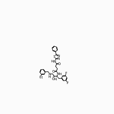 CCc1cccc(CNC[C@@H](O)[C@H](Cc2cc(F)cc(F)c2)NC(=O)CCC(=O)Nc2nnc(-c3ccccc3)s2)c1